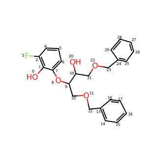 Oc1c(F)cccc1OC(COCc1ccccc1)C(O)COCc1ccccc1